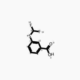 O=C(O)c1cccc(SC(F)F)c1